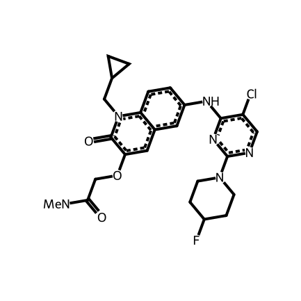 CNC(=O)COc1cc2cc(Nc3nc(N4CCC(F)CC4)ncc3Cl)ccc2n(CC2CC2)c1=O